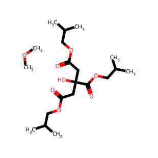 CC(C)COC(=O)CC(O)(CC(=O)OCC(C)C)C(=O)OCC(C)C.COC